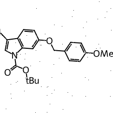 COc1ccc(COc2ccc3c(I)cn(C(=O)OC(C)(C)C)c3c2)cc1